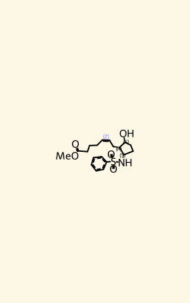 COC(=O)CCC/C=C\C[C@@H]1[C@@H](NS(=O)(=O)c2ccccc2)CC[C@@H]1O